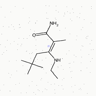 CCN/C(CC(C)(C)C)=C(\C)C(N)=O